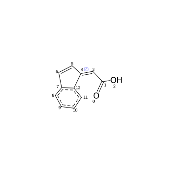 O=C(O)/C=C1/C=Cc2ccccc21